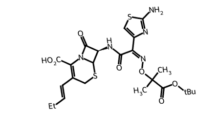 CC/C=C/C1=C(C(=O)O)N2C(=O)[C@@H](NC(=O)/C(=N\OC(C)(C)C(=O)OC(C)(C)C)c3csc(N)n3)C2SC1